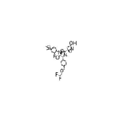 CN(C(=O)c1cc(O)no1)C(C(=O)Nc1ccc([Si](C)(C)C)cc1F)c1ccc(COCC(F)F)cc1